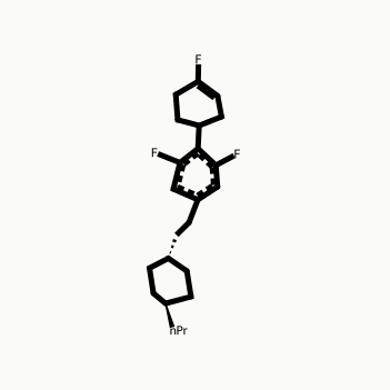 CCC[C@H]1CC[C@H](CCc2cc(F)c(C3CC=C(F)CC3)c(F)c2)CC1